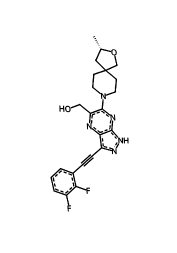 C[C@H]1CC2(CCN(c3nc4[nH]nc(C#Cc5cccc(F)c5F)c4nc3CO)CC2)CO1